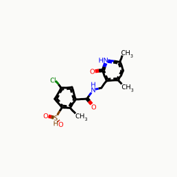 Cc1cc(C)c(CNC(=O)c2cc(Cl)cc([SH](=O)=O)c2C)c(=O)[nH]1